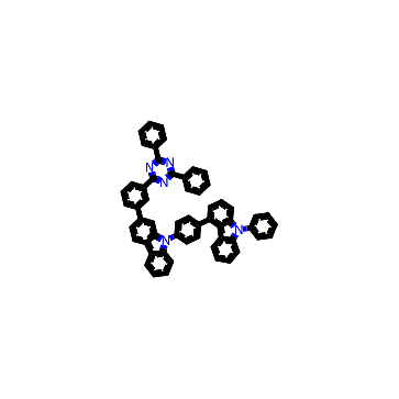 c1ccc(-c2nc(-c3ccccc3)nc(-c3cccc(-c4ccc5c6ccccc6n(-c6ccc(-c7cccc8c7c7ccccc7n8-c7ccccc7)cc6)c5c4)c3)n2)cc1